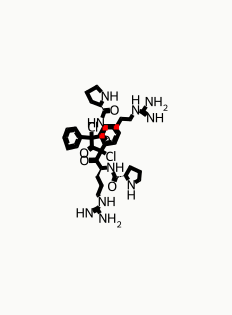 N=C(N)NCCC[C@H](NC(=O)[C@@H]1CCCN1)C(=O)C(Cl)(C(=O)C(Cl)(C(=O)[C@H](CCCNC(=N)N)NC(=O)[C@@H]1CCCN1)c1ccccc1)c1ccccc1